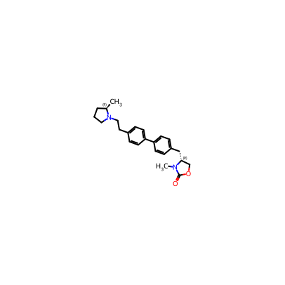 C[C@@H]1CCCN1CCc1ccc(-c2ccc(C[C@@H]3COC(=O)N3C)cc2)cc1